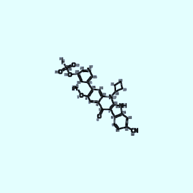 CC(C)Oc1cc2c(=O)c3c4ccc(C#N)cc4[nH]c3n(C3CCC3)c2cc1-c1cncc(OS(=O)(=O)F)c1